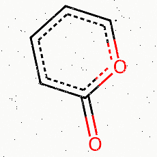 O=c1ccc[c]o1